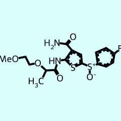 COCCOC(C)C(=O)Nc1sc([S+]([O-])c2ccc(F)cc2)cc1C(N)=O